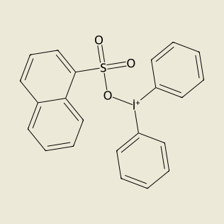 O=S(=O)(O[I+](c1ccccc1)c1ccccc1)c1cccc2ccccc12